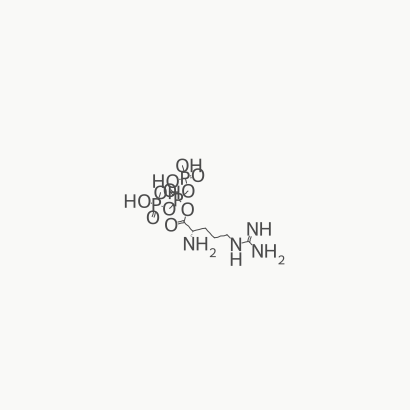 N=C(N)NCCC[C@H](N)C(=O)OP(=O)(OP(=O)(O)O)OP(=O)(O)O